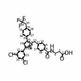 O=C(O)CCNC(=O)c1ccc(Cn2nc(-c3cc(Cl)cc(Cl)c3)cc2-c2ccc(CC(F)(F)F)cc2)cc1